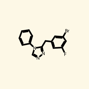 Fc1cc(Br)cc(Cc2nncn2-c2ccccc2)c1